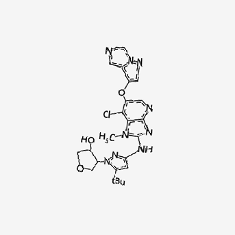 Cn1c(Nc2cc(C(C)(C)C)n(C3COCC3O)n2)nc2ncc(Oc3cnn4ccncc34)c(Cl)c21